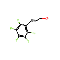 [O]C/C=C/c1c(F)c(F)c(F)c(F)c1F